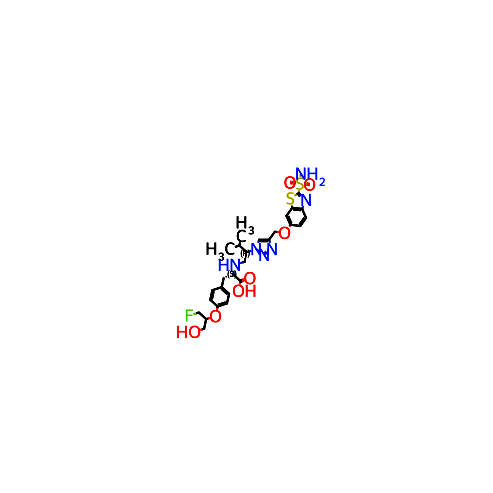 CC(C)[C@H](CN[C@@H](Cc1ccc(OC(CO)CF)cc1)C(=O)O)n1cc(COc2ccc3nc(S(N)(=O)=O)sc3c2)nn1